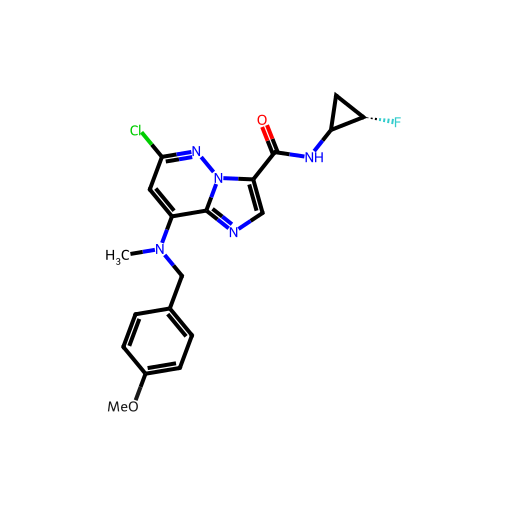 COc1ccc(CN(C)c2cc(Cl)nn3c(C(=O)NC4C[C@@H]4F)cnc23)cc1